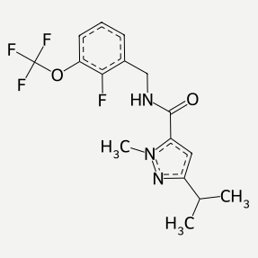 CC(C)c1cc(C(=O)NCc2cccc(OC(F)(F)F)c2F)n(C)n1